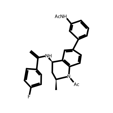 C=C(N[C@@H]1C[C@H](C)N(C(C)=O)c2ccc(-c3cccc(NC(C)=O)c3)cc21)c1ccc(F)cc1